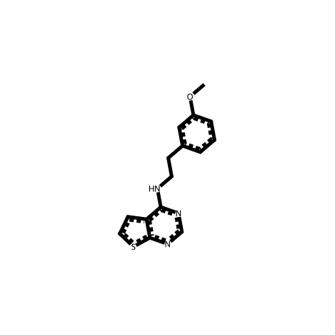 COc1cccc(CCNc2ncnc3sccc23)c1